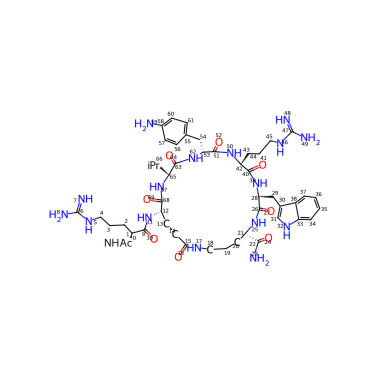 CC(=O)N[C@@H](CCCNC(=N)N)C(=O)N[C@H]1CCC(=O)NCCC[C@@H](C(N)=O)NC(=O)[C@H](Cc2c[nH]c3ccccc23)NC(=O)[C@H](CCCNC(=N)N)NC(=O)[C@@H](Cc2ccc(N)cc2)NC(=O)[C@H](C(C)C)NC1=O